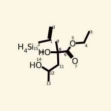 C=CC.CCOC(=O)C(C)(O)CC(C)O.[SiH4]